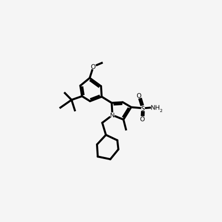 COc1cc(-c2cc(S(N)(=O)=O)c(C)n2CC2CCCCC2)cc(C(C)(C)C)c1